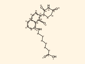 O=C(O)CCCCCCNc1cccc2cnn(C3CCC(=O)NC3=O)c(=O)c12